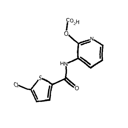 O=C(O)Oc1ncccc1NC(=O)c1ccc(Cl)s1